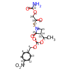 CC(OC(=O)OCc1ccc([N+](=O)[O-])cc1)[C@@H]1CN(SC(=O)COC(N)=O)C1=O